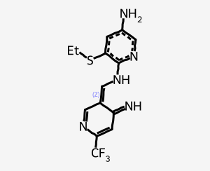 CCSc1cc(N)cnc1N/C=C1/C=NC(C(F)(F)F)=CC1=N